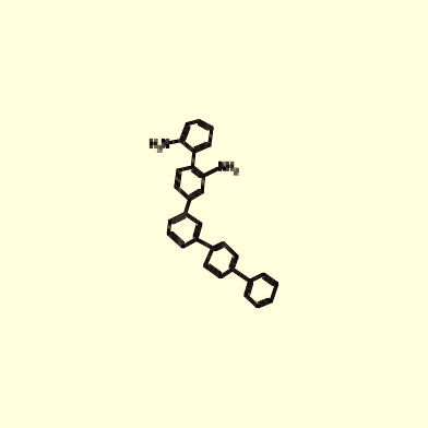 Nc1ccccc1-c1ccc(-c2cccc(-c3ccc(-c4ccccc4)cc3)c2)cc1N